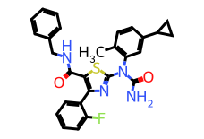 Cc1ccc(C2CC2)cc1N(C(N)=O)c1nc(-c2ccccc2F)c(C(=O)NCc2ccccc2)s1